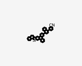 C[Si]1(C)c2cc3c4ccccc4c4cc(-c5ccc(-c6cccc(C#N)c6)c6ccccc56)ccc4c3cc2-c2ccc3ccccc3c21